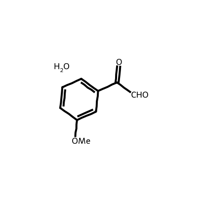 COc1cccc(C(=O)C=O)c1.O